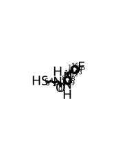 O=C(NCCCS)[C@@H]1CN(Cc2ccc(F)cc2)CCN1